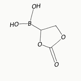 O=C1OCC(B(O)O)O1